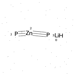 [LiH].[P]#[Zn]#[P]